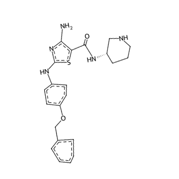 Nc1nc(Nc2ccc(OCc3ccccc3)cc2)sc1C(=O)N[C@H]1CCCNC1